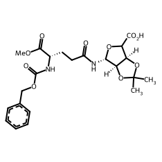 COC(=O)[C@H](CCC(=O)N[C@@H]1OC(C(=O)O)[C@H]2OC(C)(C)O[C@@H]12)NC(=O)OCc1ccccc1